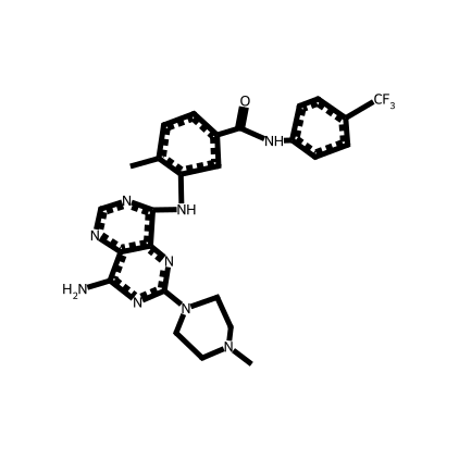 Cc1ccc(C(=O)Nc2ccc(C(F)(F)F)cc2)cc1Nc1ncnc2c(N)nc(N3CCN(C)CC3)nc12